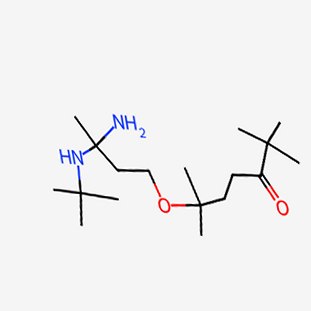 CC(C)(C)NC(C)(N)CCOC(C)(C)CCC(=O)C(C)(C)C